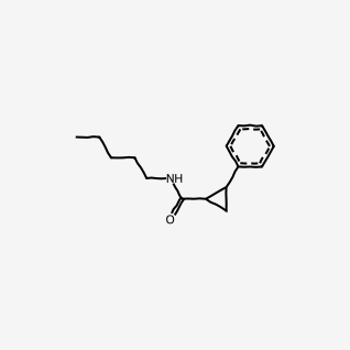 CCCCCNC(=O)C1CC1c1ccccc1